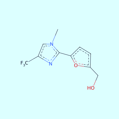 Cn1cc(C(F)(F)F)nc1-c1ccc(CO)o1